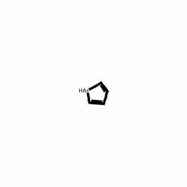 C1=C[AsH]C=C1